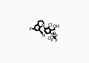 N#Cc1cc(F)cc2c1N(c1ccc(S(=O)(=O)C(F)(F)F)c(CO)c1Cl)CCC2